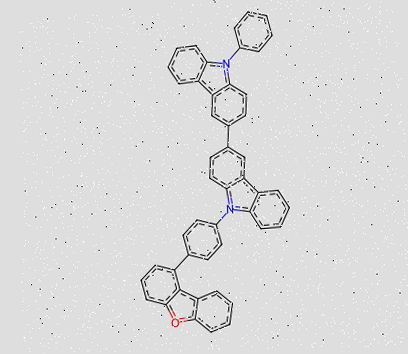 c1ccc(-n2c3ccccc3c3cc(-c4ccc5c(c4)c4ccccc4n5-c4ccc(-c5cccc6oc7ccccc7c56)cc4)ccc32)cc1